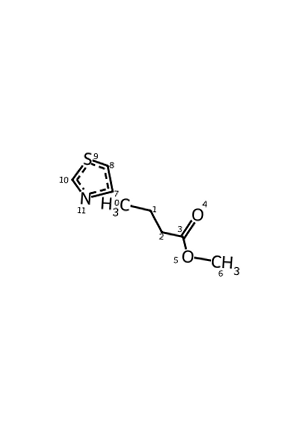 CCCC(=O)OC.c1cscn1